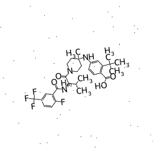 CC(C)[C@@H](NC(=O)c1cc(C(F)(F)F)ccc1F)C(=O)N1CCC(C)(Nc2ccc(C(=O)O)c(C(C)(C)C)c2)CC1